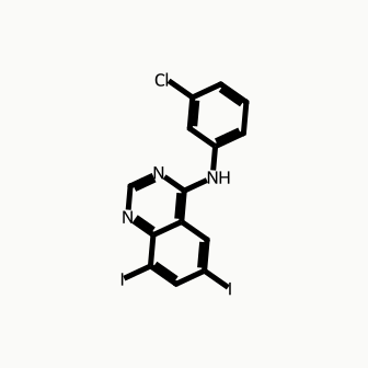 Clc1cccc(Nc2ncnc3c(I)cc(I)cc23)c1